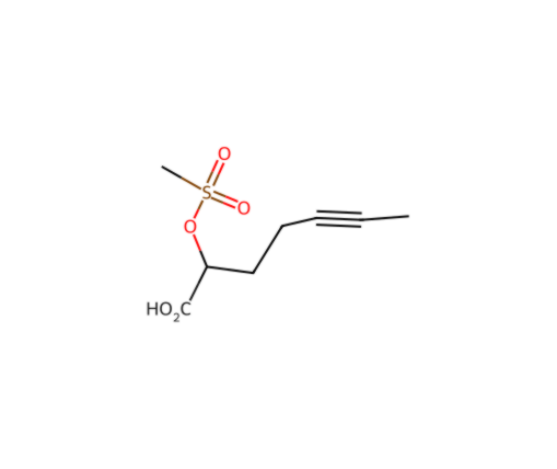 CC#CCCC(OS(C)(=O)=O)C(=O)O